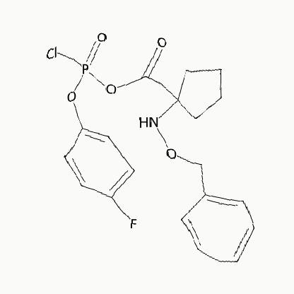 O=C(OP(=O)(Cl)Oc1ccc(F)cc1)C1(NOCc2ccccc2)CCCC1